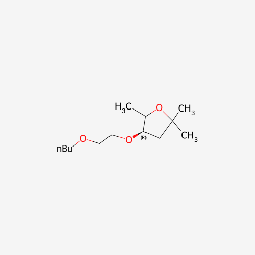 CCCCOCCO[C@@H]1CC(C)(C)OC1C